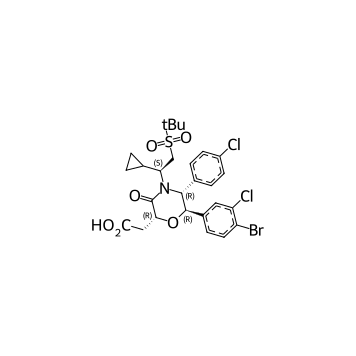 CC(C)(C)S(=O)(=O)C[C@H](C1CC1)N1C(=O)[C@@H](CC(=O)O)O[C@H](c2ccc(Br)c(Cl)c2)[C@H]1c1ccc(Cl)cc1